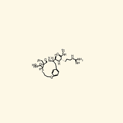 CCNC(=O)[C@H](CCCNC(=N)N)NC(=O)[C@@H]1Cc2ccc(cc2)OCCC[C@H](C(=O)NO)[C@@H](CC(C)C)C(=O)N1